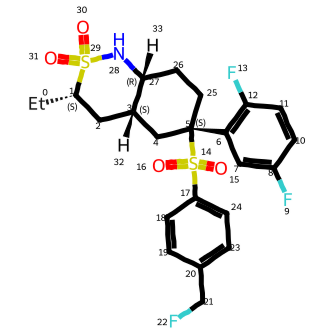 CC[C@H]1C[C@H]2C[C@@](c3cc(F)ccc3F)(S(=O)(=O)c3ccc(CF)cc3)CC[C@H]2NS1(=O)=O